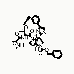 C#CCO[C@H](C)[C@H](NC(=O)[C@H](C)NC)C(=O)N1CC[C@@H]2[C@H]1[C@@H](c1nc(-c3ccccc3)cs1)CN2C(=O)OCc1ccccc1